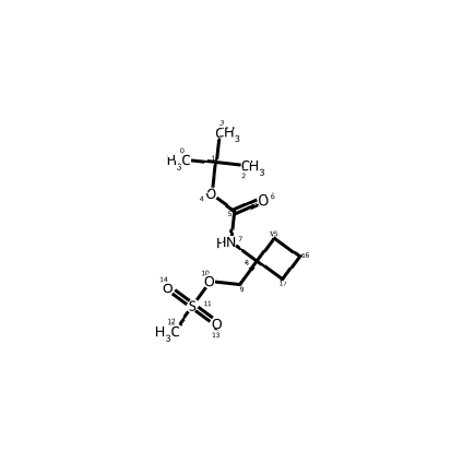 CC(C)(C)OC(=O)NC1(COS(C)(=O)=O)CCC1